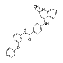 CCc1cc(Nc2ccc(C(=O)Nc3cccc(Oc4ccncc4)c3)cc2)c2ccccc2n1